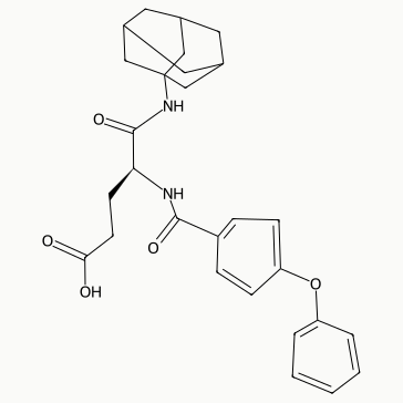 O=C(O)CC[C@H](NC(=O)c1ccc(Oc2ccccc2)cc1)C(=O)NC12CC3CC(CC(C3)C1)C2